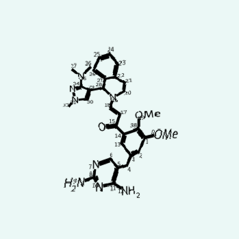 COc1cc(Cc2cnc(N)nc2N)cc(C(=O)/C=C/N2CCc3ccccc3C2c2cn(C)nc2N(C)C)c1OC